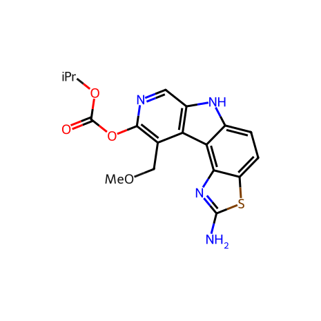 COCc1c(OC(=O)OC(C)C)ncc2[nH]c3ccc4sc(N)nc4c3c12